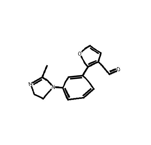 CC1=NCCN1c1cccc(-c2occc2C=O)c1